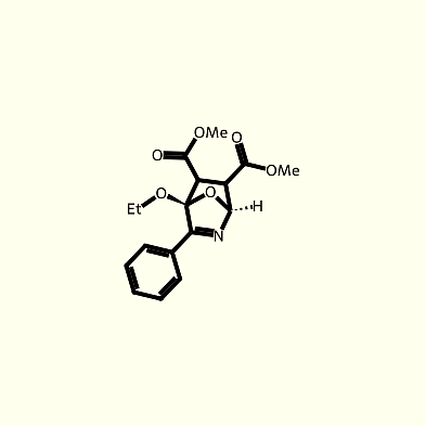 CCO[C@@]12O[C@H](N=C1c1ccccc1)C(C(=O)OC)C2C(=O)OC